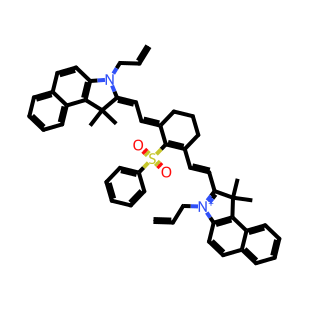 C=CCN1/C(=C/C=C2\CCCC(/C=C/C3=[N+](CC=C)c4ccc5ccccc5c4C3(C)C)=C2S(=O)(=O)c2ccccc2)C(C)(C)c2c1ccc1ccccc21